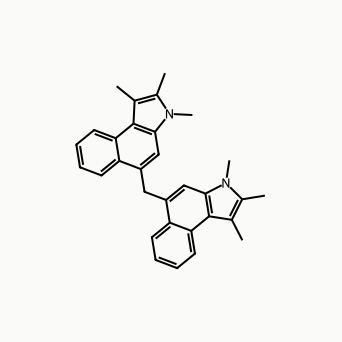 Cc1c(C)n(C)c2cc(Cc3cc4c(c(C)c(C)n4C)c4ccccc34)c3ccccc3c12